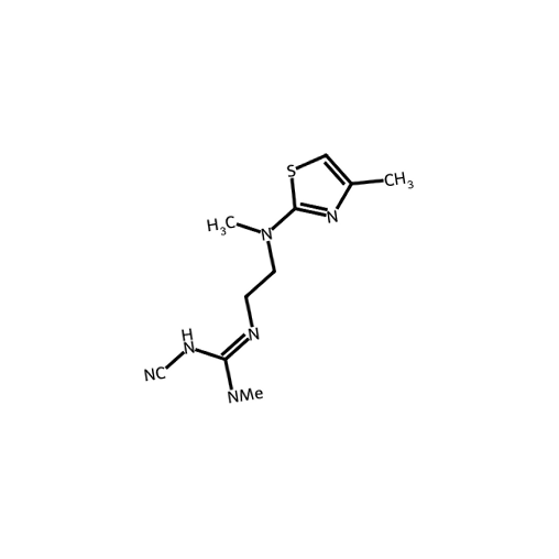 CNC(=NCCN(C)c1nc(C)cs1)NC#N